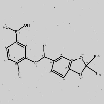 CC(Oc1cc(B(O)O)cnc1F)c1ccc2c(c1)OC(F)(F)O2